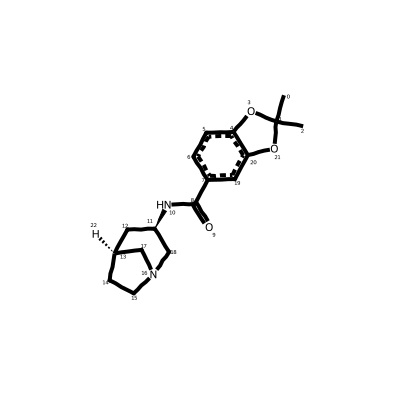 CC1(C)Oc2ccc(C(=O)N[C@@H]3C[C@@H]4CCN(C4)C3)cc2O1